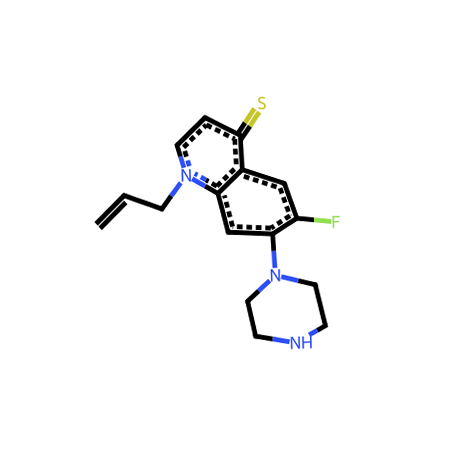 C=CCn1ccc(=S)c2cc(F)c(N3CCNCC3)cc21